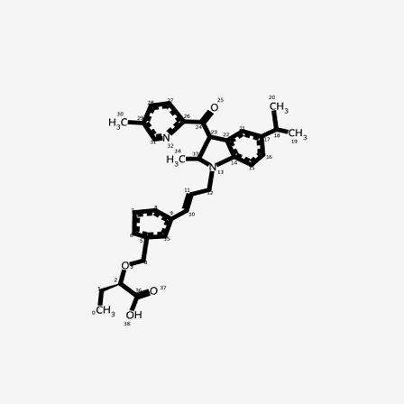 CC[C@@H](OCc1cccc(/C=C/CN2c3ccc(C(C)C)cc3C(C(=O)c3ccc(C)cn3)C2C)c1)C(=O)O